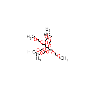 CCOCCOCC(OCCOCC)C(OCCOCC)C(OCCOCC)C(COCCOCC)OCCOCC